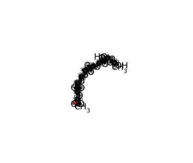 Cc1cc(S(=O)(=O)c2ccc(O)c(N3C(=O)c4ccc(Oc5ccc6c(c5)C(=O)N(c5cccc(Oc7cccc(Oc8cccc(N9C(=O)c%10ccc(Oc%11ccc%12c(c%11)C(=O)N(C)C%12=O)cc%10C9=O)c8)c7)c5)C6=O)cc4C3=O)c2)ccc1O